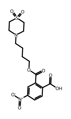 O=C(O)c1ccc([N+](=O)[O-])cc1C(=O)OCCCCN1CCS(=O)(=O)CC1